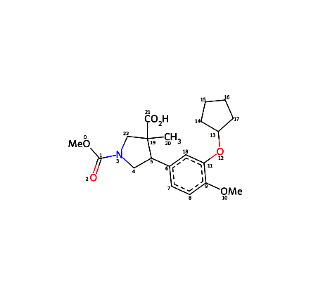 COC(=O)N1CC(c2ccc(OC)c(OC3CCCC3)c2)C(C)(C(=O)O)C1